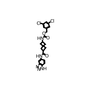 O=C(NC1CC2(C1)CC(C(=O)Nc1ccc3[nH]nnc3c1)C2)OCc1cc(Cl)cc(Cl)c1